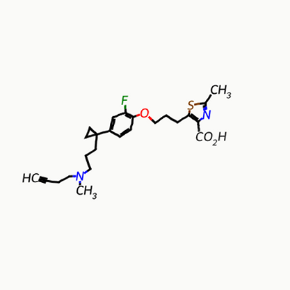 C#CCCN(C)CCCC1(c2ccc(OCCCc3sc(C)nc3C(=O)O)c(F)c2)CC1